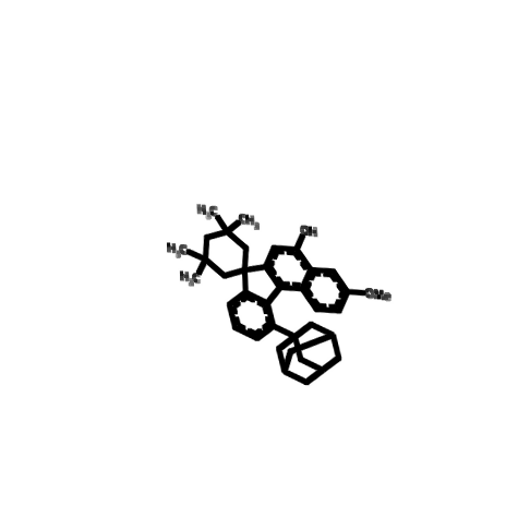 COc1ccc2c3c(cc(O)c2c1)C1(CC(C)(C)CC(C)(C)C1)c1cccc(C24CC5CC(CC(C5)C2)C4)c1-3